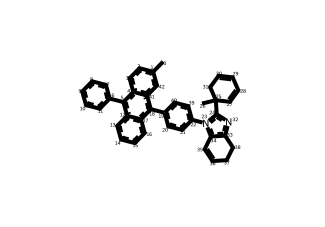 Cc1ccc2c(-c3ccccc3)c3ccccc3c(-c3ccc(-n4c(C5(C)C=CC=CC5)nc5c4C=CCC5)cc3)c2c1